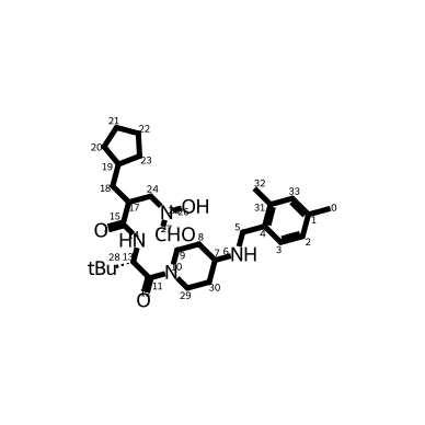 Cc1ccc(CNC2CCN(C(=O)[C@@H](NC(=O)C(CC3CCCC3)CN(O)C=O)C(C)(C)C)CC2)c(C)c1